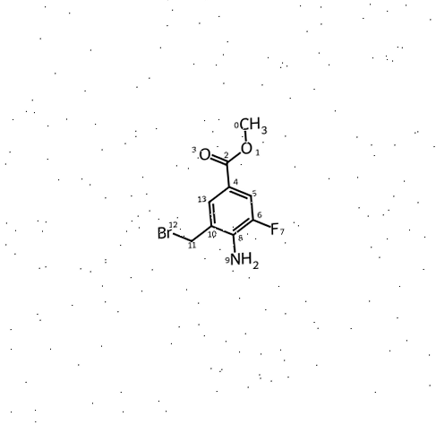 COC(=O)c1cc(F)c(N)c(CBr)c1